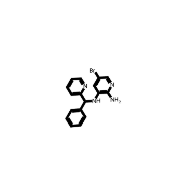 Nc1ncc(Br)cc1NC(c1ccccc1)c1ccccn1